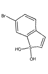 OS1(O)C=Cc2ccc(Br)cc21